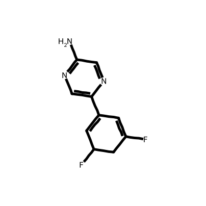 Nc1cnc(C2=CC(F)CC(F)=C2)cn1